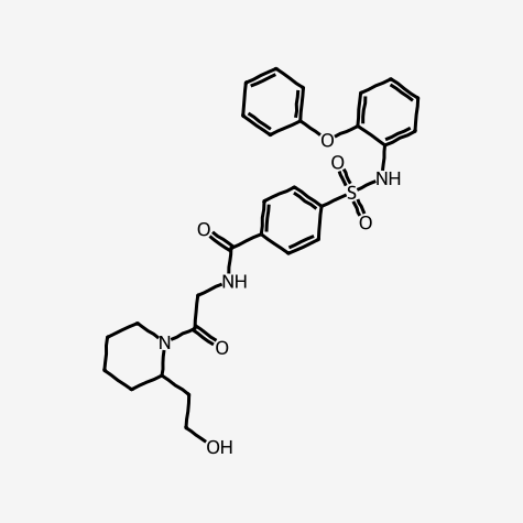 O=C(NCC(=O)N1CCCCC1CCO)c1ccc(S(=O)(=O)Nc2ccccc2Oc2ccccc2)cc1